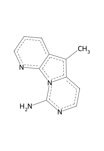 Cc1c2cccnc2n2c(N)nccc12